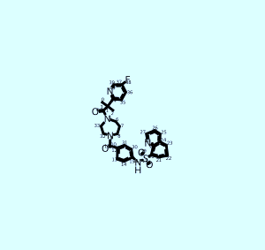 CC(C)(C(=O)N1CCCN(C(=O)c2ccc(NS(=O)(=O)c3cccc4cccnc34)cc2)CC1)c1ccc(F)cn1